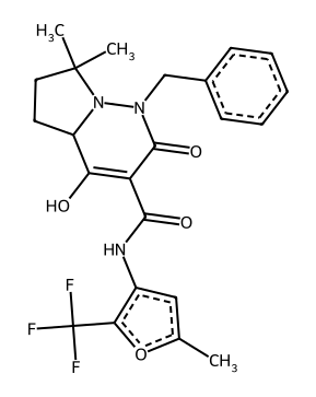 Cc1cc(NC(=O)C2=C(O)C3CCC(C)(C)N3N(Cc3ccccc3)C2=O)c(C(F)(F)F)o1